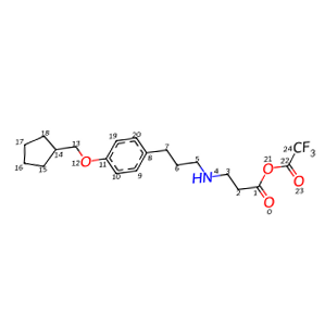 O=C(CCNCCCc1ccc(OCC2CCCC2)cc1)OC(=O)C(F)(F)F